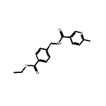 CCOC(=O)c1ccc(CNC(=O)c2ccc(C)nc2)cc1